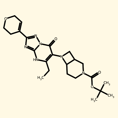 CCc1[nH]c2nc(C3=CCOCC3)nn2c(=O)c1N1CC2CN(C(=O)OC(C)(C)C)CCC21